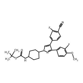 COc1ccc(-c2nn(C3CCC(NC(=O)OC(C)(C)C)CC3)cc2-c2ccc(C#N)c(F)c2)cc1F